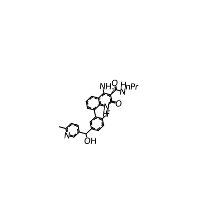 CCCNC(=O)c1c(N)c2cccc(-c3cc(C(O)c4ccc(C)nc4)ccc3F)c2[nH]c1=O